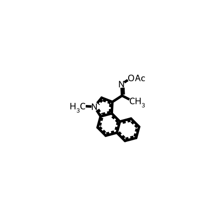 CC(=O)O/N=C(\C)c1cn(C)c2ccc3ccccc3c12